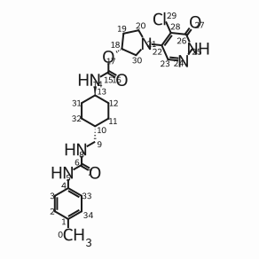 Cc1ccc(NC(=O)NC[C@H]2CC[C@H](NC(=O)O[C@@H]3CCN(c4cn[nH]c(=O)c4Cl)C3)CC2)cc1